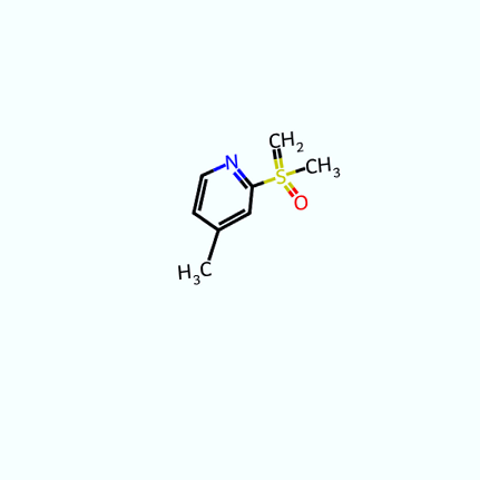 C=S(C)(=O)c1cc(C)ccn1